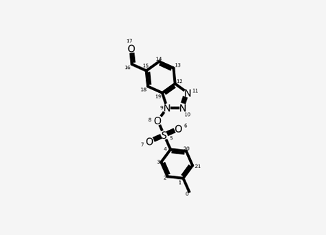 Cc1ccc(S(=O)(=O)On2nnc3ccc(C=O)cc32)cc1